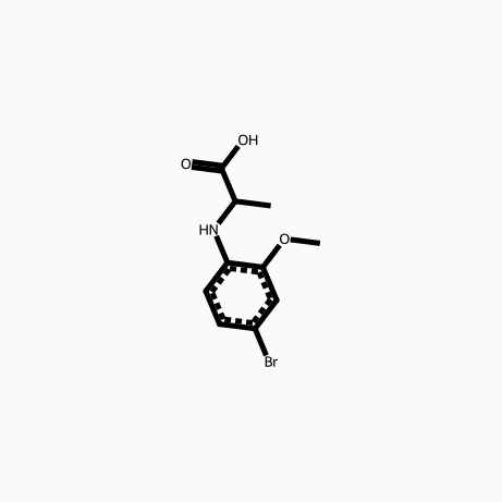 COc1cc(Br)ccc1NC(C)C(=O)O